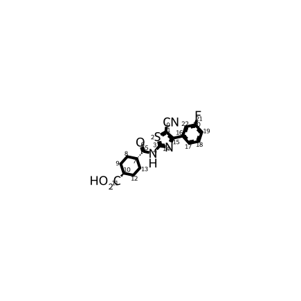 N#Cc1sc(NC(=O)[C@H]2CC[C@H](C(=O)O)CC2)nc1-c1cccc(F)c1